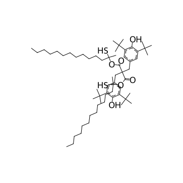 CCCCCCCCCCCCC(C)(S)OC(=O)C(Cc1cc(C(C)(C)C)c(O)c(C(C)(C)C)c1)(Cc1cc(C(C)(C)C)c(O)c(C(C)(C)C)c1)C(=O)OC(C)(S)CCCCCCCCCCCC